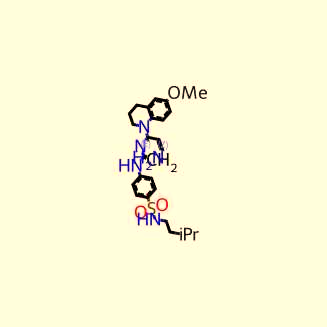 C=C(/N=C(\C=C/N)N1CCCc2cc(OC)ccc21)Nc1ccc(S(=O)(=O)NCCC(C)C)cc1